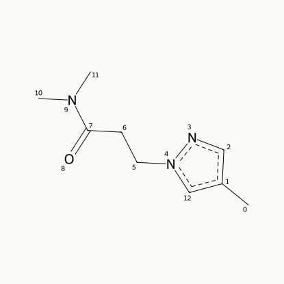 Cc1cnn(CCC(=O)N(C)C)c1